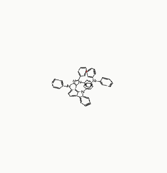 c1ccc(-c2nc3c(c4c(ccc5c6ccccc6n(-c6ccc(N(c7ccccc7)c7ccccc7)cc6)c54)n3-c3ccccc3)n2-c2ccccc2)cc1